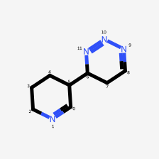 C1=NCCCC1C1CC=NN=N1